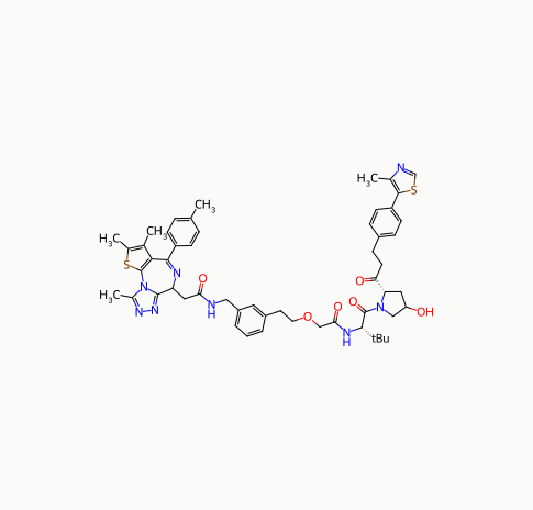 Cc1ccc(C2=NC(CC(=O)NCc3cccc(CCOCC(=O)N[C@H](C(=O)N4CC(O)C[C@H]4C(=O)CCc4ccc(-c5scnc5C)cc4)C(C)(C)C)c3)c3nnc(C)n3-c3sc(C)c(C)c32)cc1